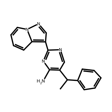 CC(c1ccccc1)c1cnc(-c2cnn3ccccc23)nc1N